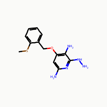 CSc1ccccc1COc1cc(N)nc(NN)c1N